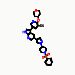 N#Cc1cc(-c2c[nH]c3ncc(-c4cnn(C5CCN(S(=O)(=O)c6ccccc6)CC5)c4)cc23)cnc1OC1CCOCC1